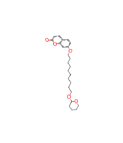 O=c1ccc2ccc(OCCCCCCCCCCOC3CCCCO3)cc2o1